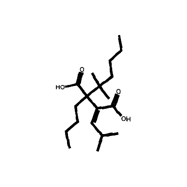 CCCCC(C)(C)C(CCCC)(C(=O)O)C(=CC(C)C)C(=O)O